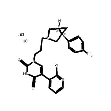 Cl.Cl.O=c1[nH]c(=O)n(CCCN2C[C@@H]3C[C@]3(c3ccc(C(F)(F)F)cc3)C2)cc1-c1cccnc1Cl